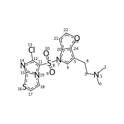 CN(C)CCc1cn(S(=O)(=O)c2c(Cl)nc3sccn23)c2ccoc12